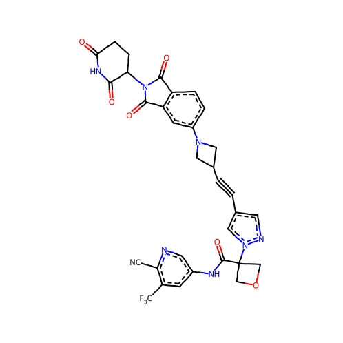 N#Cc1ncc(NC(=O)C2(n3cc(C#CC4CN(c5ccc6c(c5)C(=O)N(C5CCC(=O)NC5=O)C6=O)C4)cn3)COC2)cc1C(F)(F)F